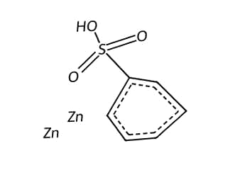 O=S(=O)(O)c1ccccc1.[Zn].[Zn]